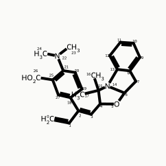 C=CC(=CC1OC2Cc3ccccc3N2C1(C)C)c1ccc(N(C)C)c(C(=O)O)c1